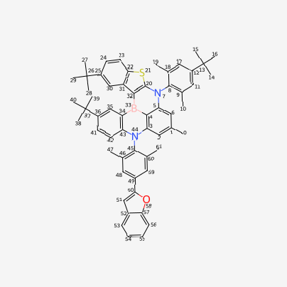 Cc1cc2c3c(c1)N(c1c(C)cc(C(C)(C)C)cc1C)c1sc4ccc(C(C)(C)C)cc4c1B3c1cc(C(C)(C)C)ccc1N2c1c(C)cc(-c2cc3ccccc3o2)cc1C